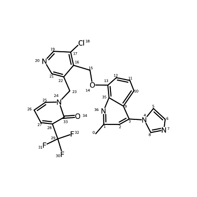 Cc1cc(-n2ccnc2)c2cccc(OCc3c(Cl)cncc3Cn3cccc(C(F)(F)F)c3=O)c2n1